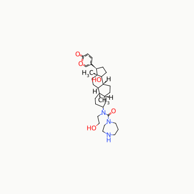 C[C@]12CC[C@H](N(CCO)C(=O)N3CCCNCC3)C[C@H]1CC[C@@H]1[C@@H]2CC[C@]2(C)[C@@H](c3ccc(=O)oc3)CC[C@]12O